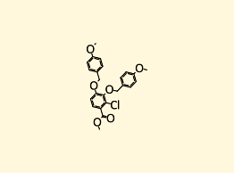 COC(=O)c1ccc(OCc2ccc(OC)cc2)c(OCc2ccc(OC)cc2)c1Cl